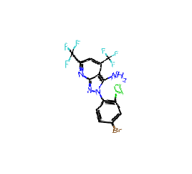 Nc1c2c(C(F)(F)F)cc(C(F)(F)F)nc2nn1-c1ccc(Br)cc1Cl